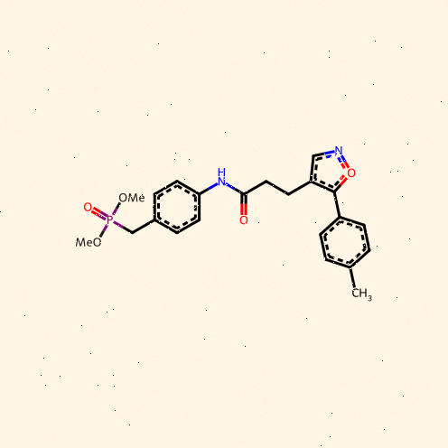 COP(=O)(Cc1ccc(NC(=O)CCc2cnoc2-c2ccc(C)cc2)cc1)OC